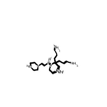 NCCCC1(CCCN)CNCCN1NCCN1CCNCC1